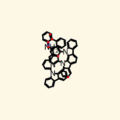 C=C/C=C\C(c1cccc(-n2c3ccccc3c3ccc4c5ccccc5n(-c5cccc(-c6cccc(-n7c8ccccc8c8ccccc87)n6)c5)c4c32)c1)c1ccccc1-c1ccccc1N